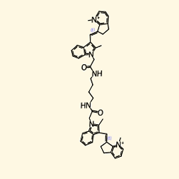 Cc1c(/C=C2\CCc3ccc[n+](C)c32)c2ccccc2n1CC(=O)NCCCCNC(=O)Cn1c(C)c(/C=C2\CCc3ccc[n+](C)c32)c2ccccc21